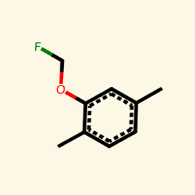 Cc1ccc(C)c(OCF)c1